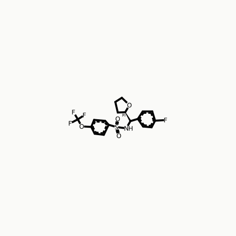 O=S(=O)(NC(c1ccc(F)cc1)[C@H]1CCCO1)c1ccc(OC(F)(F)F)cc1